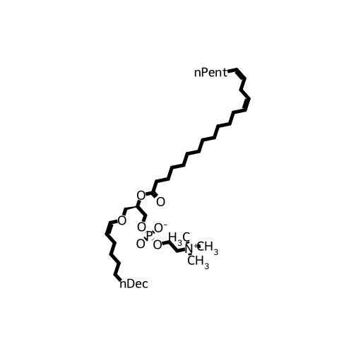 CCCCC/C=C\C/C=C\CCCCCCCCCCCC(=O)O[C@H](CO/C=C\CCCCCCCCCCCCCC)COP(=O)([O-])OCC[N+](C)(C)C